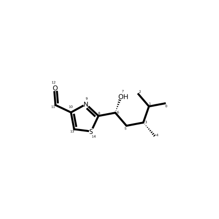 CC(C)[C@H](C)C[C@@H](O)c1nc(C=O)cs1